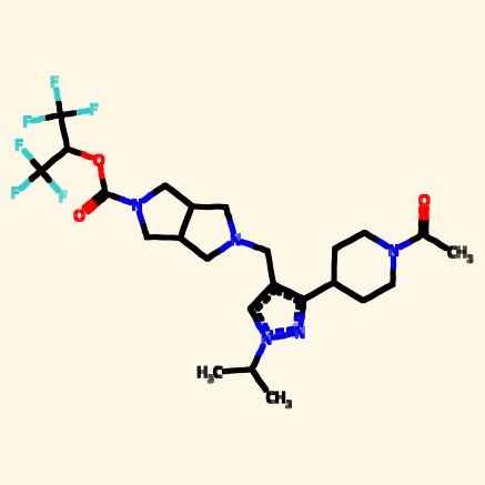 CC(=O)N1CCC(c2nn(C(C)C)cc2CN2CC3CN(C(=O)OC(C(F)(F)F)C(F)(F)F)CC3C2)CC1